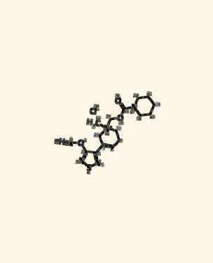 CCCCCCOc1nsnc1C1=CCC[N+](C)(COC(=O)N2CCCCC2)C1.[Cl-]